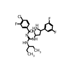 CCC(CC)N/C(=N/C(=O)c1ccc(Cl)c(F)c1)NC1CC(c2cc(F)cc(F)c2)NN1